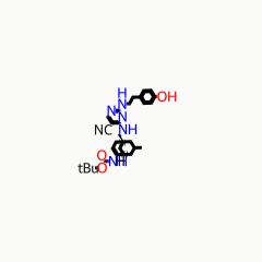 CC1C[C@H]2C[C@](CNc3nc(NCCc4ccc(O)cc4)ncc3C#N)(CC=C2NC(=O)OC(C)(C)C)C1